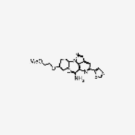 COCCOC1CCC(n2ncc3cc(-c4cncs4)nc(C(N)=O)c32)CC1